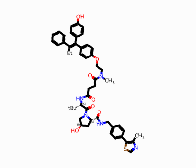 CCC(=C(c1ccc(O)cc1)c1ccc(OCCN(C)C(=O)CCC(=O)N[C@H](C(=O)N2C[C@H](O)C[C@H]2C(=O)NCc2ccc(-c3scnc3C)cc2)C(C)(C)C)cc1)c1ccccc1